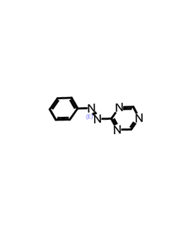 c1ccc(/N=N/c2ncncn2)cc1